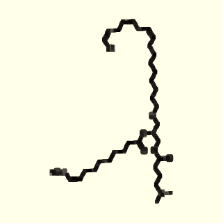 CC/C=C\C/C=C\C/C=C\CCCCCCCCOCC(COC(=O)CCCN(C)C)OC(=O)CCCCCCC/C=C\CCCCCCCC